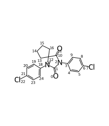 O=C1N(c2ccc(Cl)cc2)C(=O)C2(CCCC2)N1c1ccc(Cl)cc1